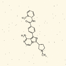 CN1CCC(c2nc(-c3ccc(C(=O)NC4C=CC=CN4C)cc3)c3c(N)nccn23)C1